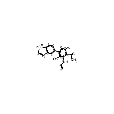 C=CNc1c(CC)c(-c2ccc(CCCC)c(/N=C\C)c2)cc(C)c1C(N)=O